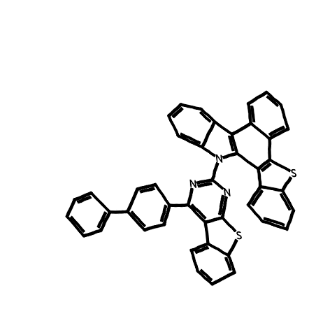 c1ccc(-c2ccc(-c3nc(-n4c5ccccc5c5c6ccccc6c6sc7ccccc7c6c54)nc4sc5ccccc5c34)cc2)cc1